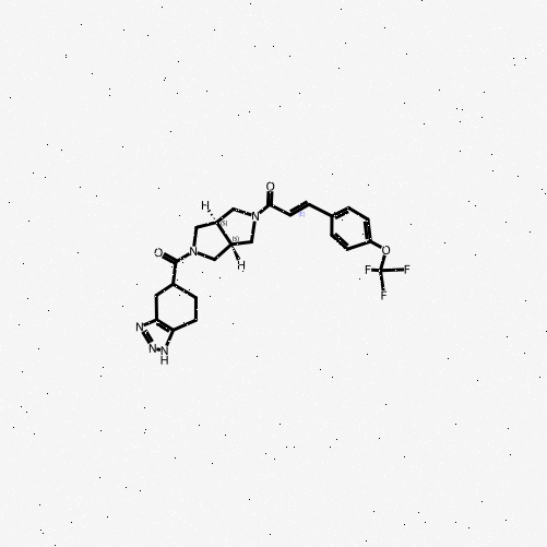 O=C(/C=C/c1ccc(OC(F)(F)F)cc1)N1C[C@@H]2CN(C(=O)C3CCc4[nH]nnc4C3)C[C@H]2C1